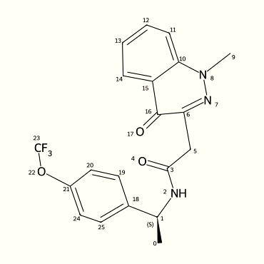 C[C@H](NC(=O)Cc1nn(C)c2ccccc2c1=O)c1ccc(OC(F)(F)F)cc1